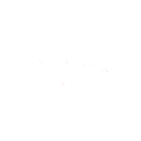 CN1CCC(C(O)c2cc3cc(C#N)oc3cn2)CC1